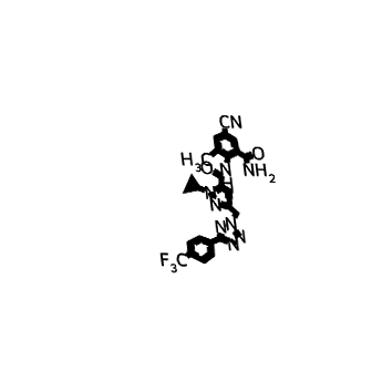 Cc1cc(C#N)cc(C(N)=O)c1NC(=O)c1cc(Cn2nnc(-c3ccc(C(F)(F)F)cc3)n2)nn1C1CC1